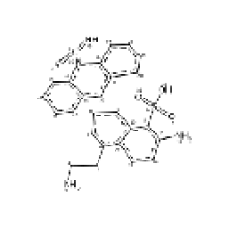 N=C=S.NCCc1cccc2c(S(=O)(=O)O)c(N)ccc12.c1ccc2nc3ccccc3cc2c1